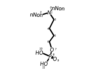 CCCCCCCCCN(CCCCCCCCC)CCCCOP(=O)(O)O